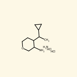 CC(C1CC1)C1CCOCC1N.Cl.Cl.N